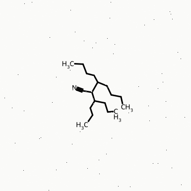 CCCCC(CCCC)C(C#N)C(CCC)CCC